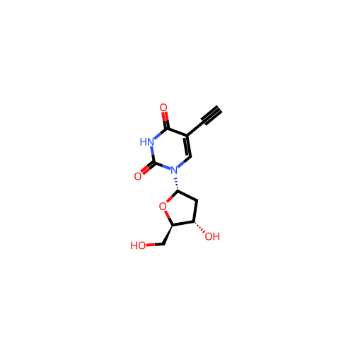 C#Cc1cn([C@@H]2C[C@H](O)[C@@H](CO)O2)c(=O)[nH]c1=O